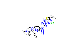 Cc1csc2c(-n3nc(Nc4ccc(N5CCN(C6CC6)[C@@H](C)C5C)nc4)nc3N)nc(Cl)nc12